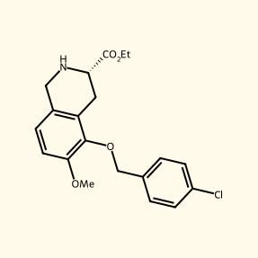 CCOC(=O)[C@@H]1Cc2c(ccc(OC)c2OCc2ccc(Cl)cc2)CN1